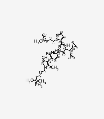 Cc1nn(COCCS(C)(C)C)c(C)c1-c1ccc(NC(=O)[C@@H](NC(=O)c2ccnn2CCC[S+](C)[O-])C(C2CC2)C2CC2)nc1F